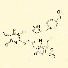 COc1ccc(Cn2nnnc2C2=C(CSc3nc(=O)c(=O)[nH]n3C)CS(=O)(=O)[C@H]3[C@@H](OC)C(=O)N23)cc1